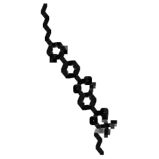 CCCCCCc1cnc(-c2ccc(C(=O)Oc3ccc(C(=O)O[C@@H](CCCC)C(F)(F)F)cc3F)cc2)nc1